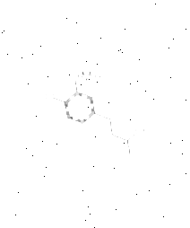 COc1cc(CCC(C)O)ccc1O